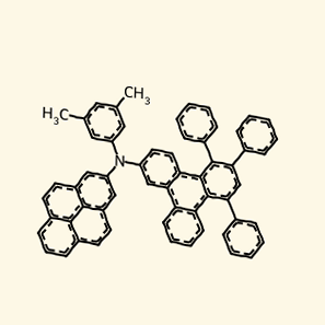 Cc1cc(C)cc(N(c2cc3ccc4cccc5ccc(c2)c3c45)c2ccc3c(c2)c2ccccc2c2c(-c4ccccc4)cc(-c4ccccc4)c(-c4ccccc4)c32)c1